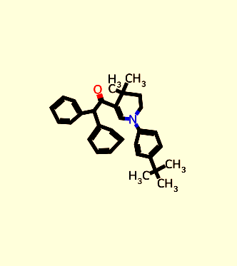 CC1(C)CCN(c2ccc(C(C)(C)C)cc2)C=C1C(=O)C(c1ccccc1)c1ccccc1